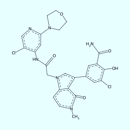 Cn1ccc2c(c(-c3cc(Cl)c(O)c(C(N)=O)c3)cn2CC(=O)Nc2cc(N3CCOCC3)ncc2Cl)c1=O